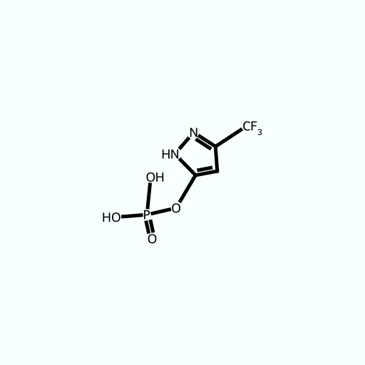 O=P(O)(O)Oc1cc(C(F)(F)F)n[nH]1